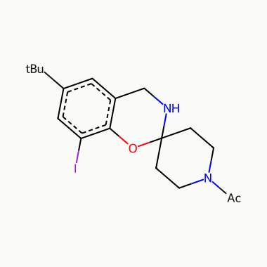 CC(=O)N1CCC2(CC1)NCc1cc(C(C)(C)C)cc(I)c1O2